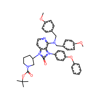 COc1ccc(CN(Cc2ccc(OC)cc2)c2nccc3c2n(-c2ccc(Oc4ccccc4)cc2)c(=O)n3C2CCCN(C(=O)OC(C)(C)C)C2)cc1